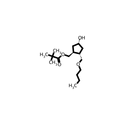 CCCCOC[C@H]1C[C@@H](O)C[C@@H]1COC(=O)C(C)(C)C